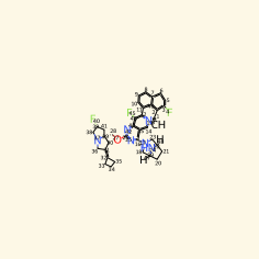 C#Cc1c(F)ccc2cccc(-c3ncc4c(N5C[C@H]6CC[C@@H](C5)N6)nc(OC[C@]56CC(=C7CCC7)CN5C[C@H](F)C6)nc4c3F)c12